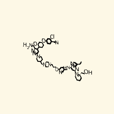 CCc1cnn2c(NCc3ccc(OCCCN4CCN(CC5CCN(c6cc(C7CCC(Oc8ccc(C#N)c(Cl)c8)CC7)c(C(N)=O)nn6)CC5)CC4)nc3)cc(N3CCCC[C@H]3CCO)nc12